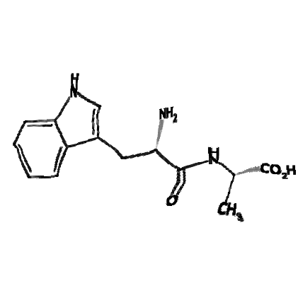 C[C@H](NC(=O)[C@@H](N)Cc1c[nH]c2ccccc12)C(=O)O